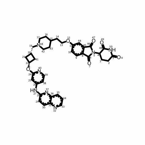 O=C1CCC(N2C(=O)c3ccc(OCCC4CCN(C[C@H]5C[C@H](Oc6cc(Nc7ccc8ncccc8n7)ccn6)C5)CC4)cc3C2=O)C(=O)N1